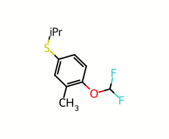 Cc1cc(SC(C)C)ccc1OC(F)F